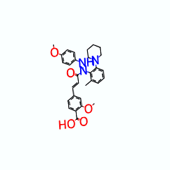 COc1ccc(NN(C(=O)/C=C/c2ccc(C(=O)O)c(OC)c2)c2c(C)cccc2N2CCCCC2)cc1